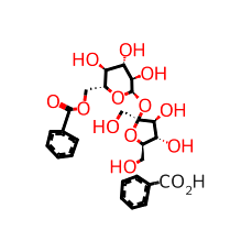 O=C(O)c1ccccc1.O=C(OC[C@H]1O[C@H](O[C@]2(CO)O[C@H](CO)[C@@H](O)[C@@H]2O)[C@H](O)[C@@H](O)[C@@H]1O)c1ccccc1